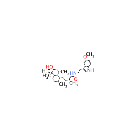 C=C1CCC2C(C(C)CC(O)C2(C)C)C1CCC(C)=CC(=O)NCCc1c[nH]c2ccc(OC)cc12